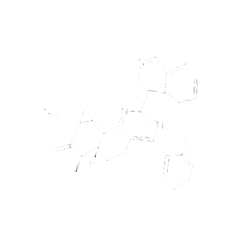 C[C@H]1C(=O)[C@@]2(C#N)O[C@H]2[C@@]2(C)c3nc(-c4cncc5ccccc45)nc(-c4ccccc4F)c3CC[C@H]12